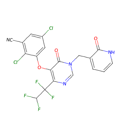 N#Cc1cc(Cl)cc(Oc2c(C(F)(F)C(F)F)ncn(Cc3ccc[nH]c3=O)c2=O)c1Cl